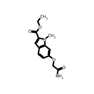 CCOC(=O)c1cc2ccc(OCC(N)=O)cc2n1C